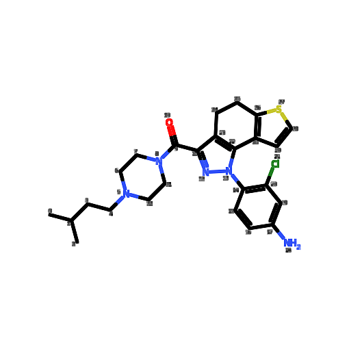 CC(C)CCN1CCN(C(=O)c2nn(-c3ccc(N)cc3Cl)c3c2CCc2sccc2-3)CC1